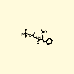 CC(=O)SCC(Cc1ccccc1)C(=O)NCC(=O)OCC(F)(F)F